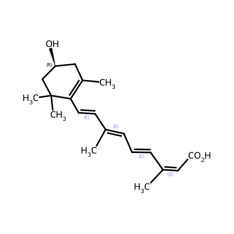 CC1=C(/C=C/C(C)=C/C=C/C(C)=C\C(=O)O)C(C)(C)C[C@@H](O)C1